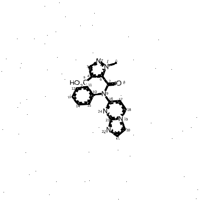 Cn1ncc(C(=O)O)c1C(=O)N(c1ccccc1)c1ccn2ccnc2n1